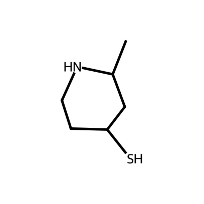 CC1CC(S)CCN1